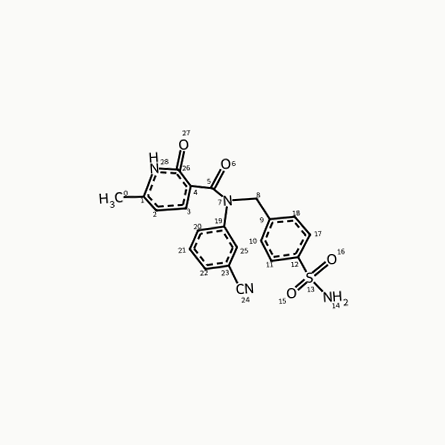 Cc1ccc(C(=O)N(Cc2ccc(S(N)(=O)=O)cc2)c2cccc(C#N)c2)c(=O)[nH]1